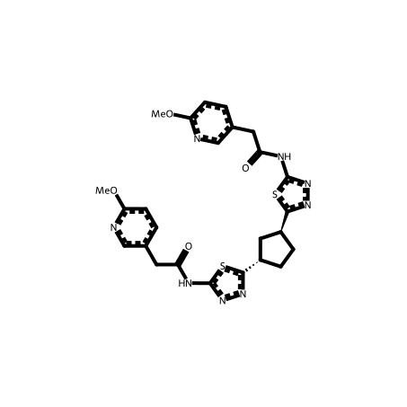 COc1ccc(CC(=O)Nc2nnc([C@H]3CC[C@H](c4nnc(NC(=O)Cc5ccc(OC)nc5)s4)C3)s2)cn1